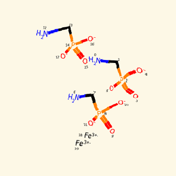 NCP(=O)([O-])[O-].NCP(=O)([O-])[O-].NCP(=O)([O-])[O-].[Fe+3].[Fe+3]